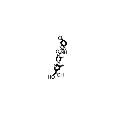 C[C@H]1CN(c2ncc([C@H](O)CO)cc2F)CCN1C(=O)Nc1nc2ccc(Cl)cc2s1